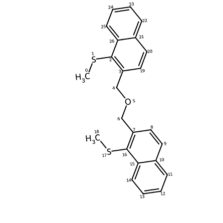 CSc1c(COCc2ccc3ccccc3c2SC)ccc2ccccc12